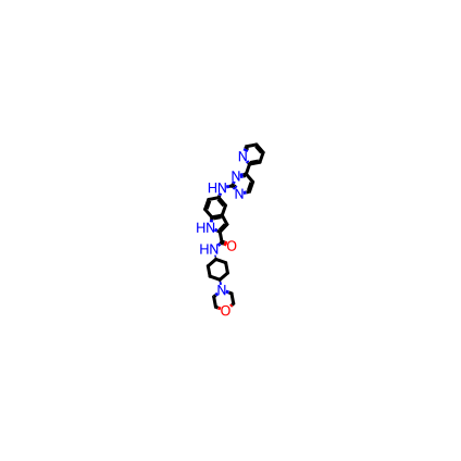 O=C(N[C@H]1CC[C@H](N2CCOCC2)CC1)c1cc2cc(Nc3nccc(-c4ccccn4)n3)ccc2[nH]1